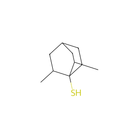 CC1CC2CCC1(S)C(C)C2